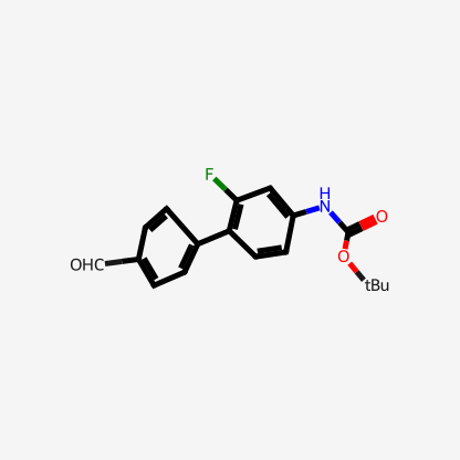 CC(C)(C)OC(=O)Nc1ccc(-c2ccc(C=O)cc2)c(F)c1